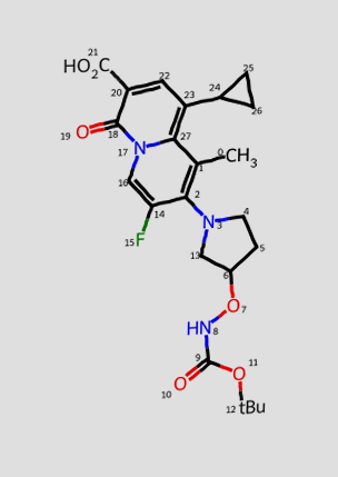 Cc1c(N2CCC(ONC(=O)OC(C)(C)C)C2)c(F)cn2c(=O)c(C(=O)O)cc(C3CC3)c12